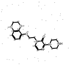 O=c1c(N2CCNCC2)nccn1CCOc1cccc2c1OCCO2